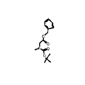 CN(CC(=O)OCc1ccccc1)C(=O)OC(C)(C)C